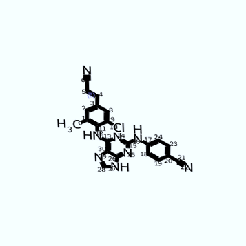 Cc1cc(/C=C/C#N)cc(Cl)c1Nc1nc(Nc2ccc(C#N)cc2)nc2[nH]cnc12